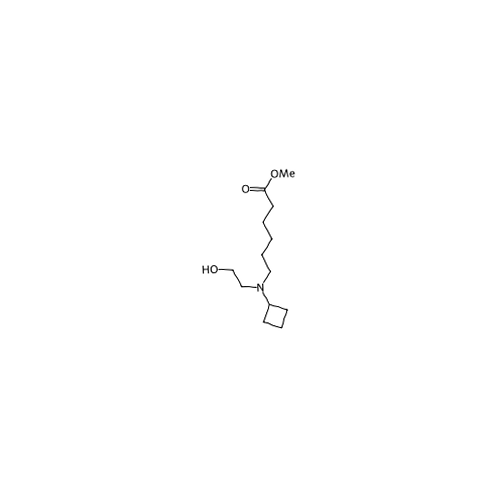 COC(=O)CCCCCN(CCO)C1CCC1